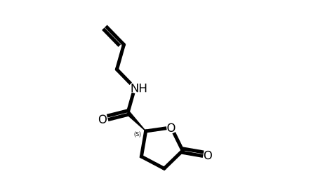 C=CCNC(=O)[C@@H]1CCC(=O)O1